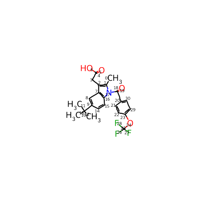 Cc1c(CC(=O)O)c2cc(C(C)(C)C)ccc2n1C(=O)c1ccc(OC(F)(F)F)cc1